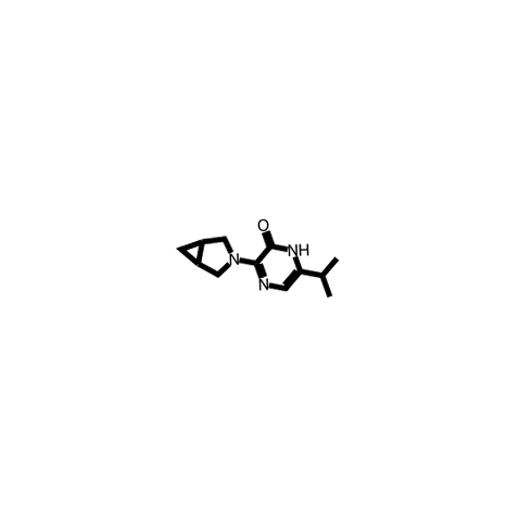 CC(C)c1cnc(N2CC3CC3C2)c(=O)[nH]1